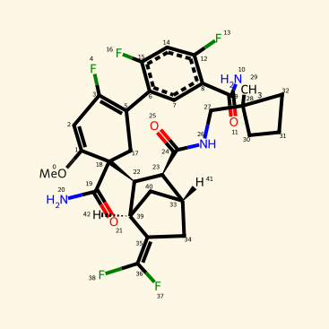 COC1=CC(F)=C(c2cc(C(N)=O)c(F)cc2F)CC1(C(N)=O)[C@H]1[C@@H](C(=O)NCC2(C)CCC2)[C@@H]2CC(=C(F)F)[C@@H]1C2